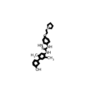 Cc1cc(-c2cccc(O)c2)c(C)cc1NC(N=N)Nc1ccc(OCCN2CCCC2)cc1